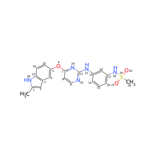 Cc1cc2cc(Oc3ccnc(Nc4cccc(NS(C)(=O)=O)c4)n3)ccc2[nH]1